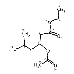 CCOC(=O)CC(CC(C)C)OC(C)=O